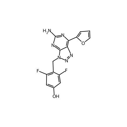 Nc1nc(-c2ccco2)c2nnn(Cc3c(F)cc(O)cc3F)c2n1